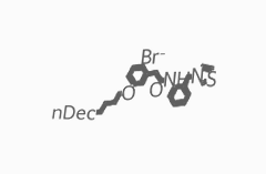 CCCCCCCCCCCCCCOc1cccc(CC(=O)Nc2ccccc2C[n+]2ccsc2)c1.[Br-]